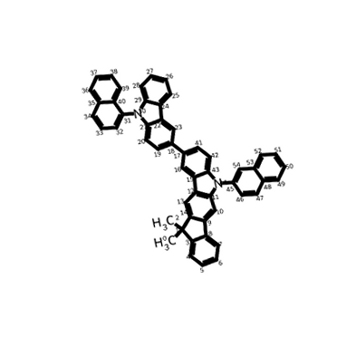 CC1(C)c2ccccc2-c2cc3c(cc21)c1cc(-c2ccc4c(c2)c2ccccc2n4-c2cccc4ccccc24)ccc1n3-c1ccc2ccccc2c1